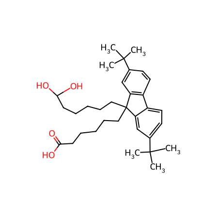 CC(C)(C)c1ccc2c(c1)C(CCCCCC(=O)O)(CCCCCC(O)O)c1cc(C(C)(C)C)ccc1-2